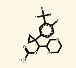 NC(=O)OC(C1COCCN1)C1(c2ccc(F)c(C(F)(F)F)c2)CC1